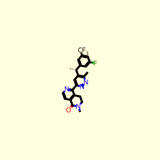 Cc1nnc(-c2nccc3c2CCN(C)C3=O)cc1[C@H](C)c1cc(F)cc(C(F)(F)F)c1